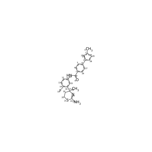 Cc1nc(-c2ccc(C(=O)Nc3ccc(F)c(C4(C)CCSC(N)=N4)c3)cc2)cs1